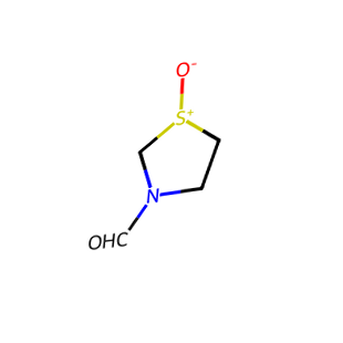 O=CN1CC[S+]([O-])C1